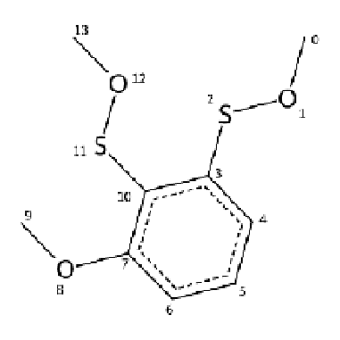 COSc1cccc(OC)c1SOC